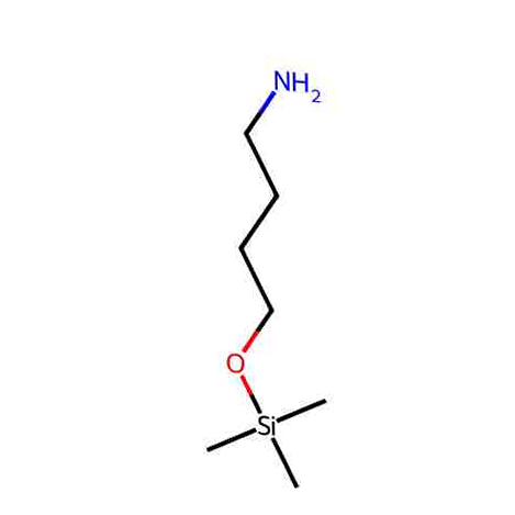 C[Si](C)(C)OCCCCN